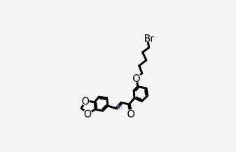 O=C(/C=C/c1ccc2c(c1)OCO2)c1cccc(OCCCCCBr)c1